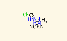 Cc1nc(C#N)c(C#N)nc1NNc1cccc(Cl)c1